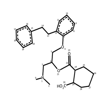 CN(C)CC(COc1ccccc1CCc1ccccc1)OC(=O)C1CCCCC1C(=O)O